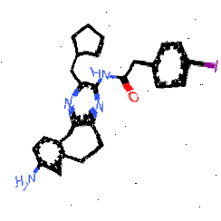 Nc1ccc2c(c1)CCc1nc(NC(=O)Cc3ccc(I)cc3)c(CC3CCCC3)nc1-2